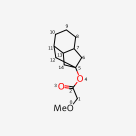 COCC(=O)OC12CC3CCCC(C1)C3C2